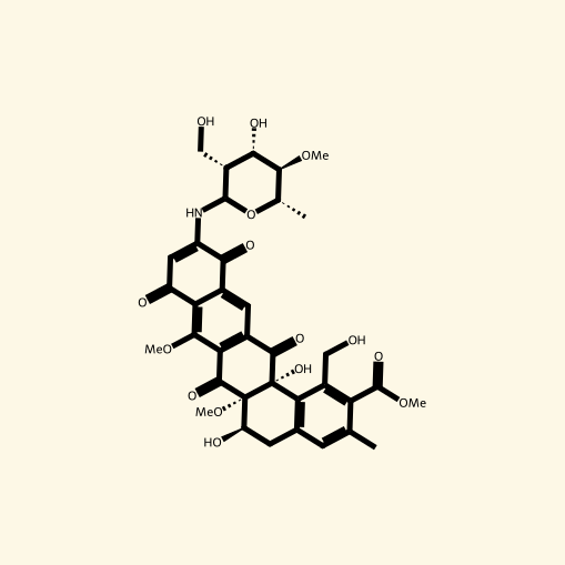 COC(=O)c1c(C)cc2c(c1CO)[C@]1(O)C(=O)c3cc4c(c(OC)c3C(=O)[C@]1(OC)[C@H](O)C2)C(=O)C=C(NC1O[C@@H](C)[C@H](OC)[C@@H](O)[C@H]1CO)C4=O